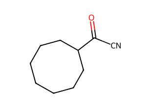 N#CC(=O)C1CCCCCCC1